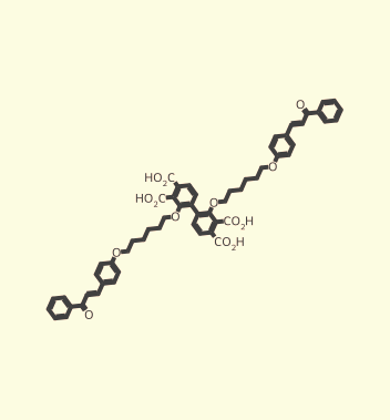 O=C(/C=C/c1ccc(OCCCCCCOc2c(-c3ccc(C(=O)O)c(C(=O)O)c3OCCCCCCOc3ccc(/C=C/C(=O)c4ccccc4)cc3)ccc(C(=O)O)c2C(=O)O)cc1)c1ccccc1